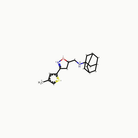 Cc1csc(C2=NOC(CNC34CC5CC(CC(C5)C3)C4)C2)c1